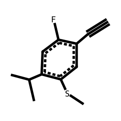 C#Cc1cc(SC)c(C(C)C)cc1F